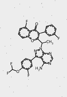 CC(c1oc2cccc(F)c2c(=O)c1-c1cccc(F)c1)n1nc(-c2ccc(OC(F)F)c(F)c2)c2c(N)ncnc21